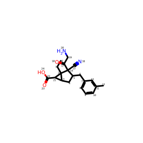 CCC12C(CC(Cc3cccc(C)c3)C1(C#N)C(=O)CN)C2C(=O)O